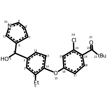 CCc1cc(C(O)c2cccnc2)ccc1Oc1ccc(C(=O)C(C)(C)C)c(Cl)c1